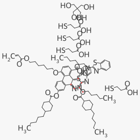 C=CC(=O)OCCCCCCOc1ccc(C(=O)O)c(-c2ccc(OC(=O)C3CCC(CCCCC)CC3)cc2C=NN(CCCCCC)c2nc3ccccc3s2)c1-c1ccc(OC(=O)C2CCC(CCCCC)CC2)cc1C=NN(CCCCCC)c1nc2ccccc2s1.O=C(O)CCS.O=C(O)CCS.O=C(O)CCS.O=C(O)CCS.OCC(CO)(CO)CO